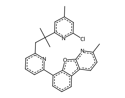 Cc1cc(Cl)nc(C(C)(C)Cc2cccc(-c3cccc4c3oc3nc(C)ccc34)n2)c1